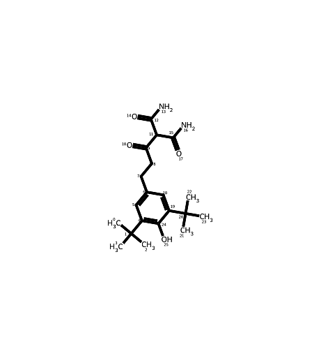 CC(C)(C)c1cc(CCC(=O)C(C(N)=O)C(N)=O)cc(C(C)(C)C)c1O